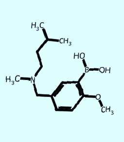 COc1ccc(CN(C)CCC(C)C)cc1B(O)O